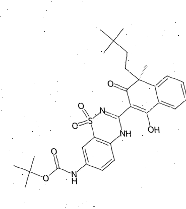 CC(C)(C)CC[C@]1(C)C(=O)C(C2=NS(=O)(=O)c3cc(NC(=O)OC(C)(C)C)ccc3N2)=C(O)c2ccccc21